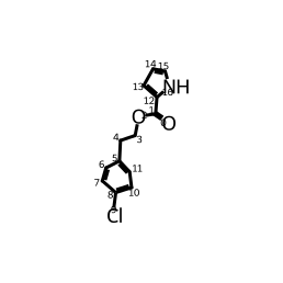 O=C(OCCc1ccc(Cl)cc1)c1ccc[nH]1